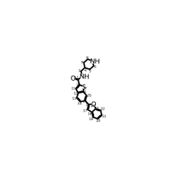 O=C(NCC1CCNCC1)c1cc2ccc(-c3cc4ccccc4o3)cc2s1